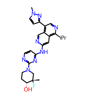 CC(C)c1ncc(-c2ccn(C)n2)c2cnc(Nc3ccnc(N4CC[C@@H](O)[C@@](C)(F)C4)n3)cc12